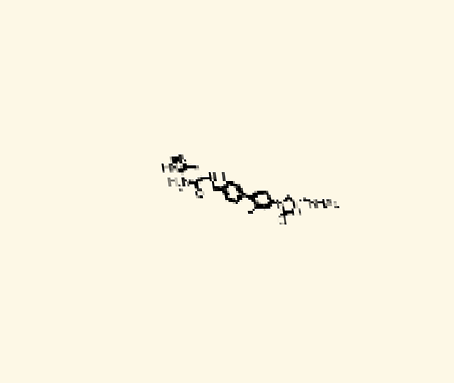 CC(=O)NC[C@H]1CN(c2ccc(-c3ccc(CN[C@@H](Cc4c[nH]cn4)C(N)=O)cc3)c(F)c2)C(=O)O1